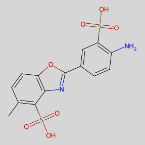 Cc1ccc2oc(-c3ccc(N)c(S(=O)(=O)O)c3)nc2c1S(=O)(=O)O